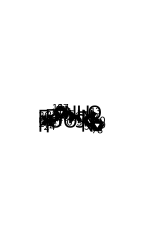 O=C(CSc1nc2ccccc2c(=O)[nH]1)Nc1cccc(OC(F)(F)C(F)F)c1